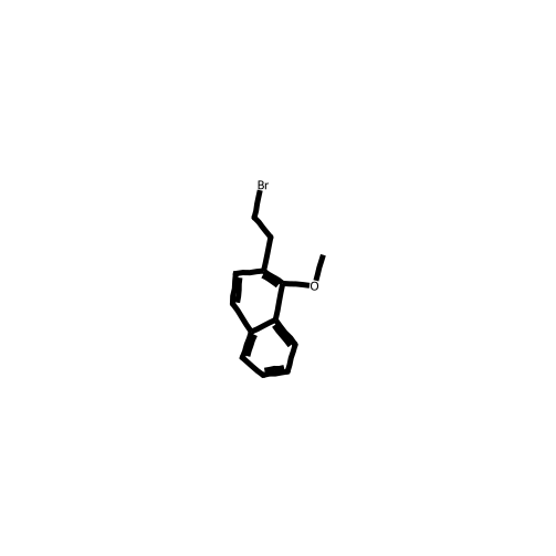 COc1c(CCBr)ccc2ccccc12